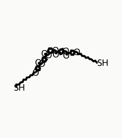 O=C(Oc1ccc(C(=O)Oc2cccc(OC(=O)c3ccc(OC(=O)c4ccc(OCCCCCCCCCCCS)cc4)cc3)c2)cc1)c1ccc(OCCCCCCCCCCCS)cc1